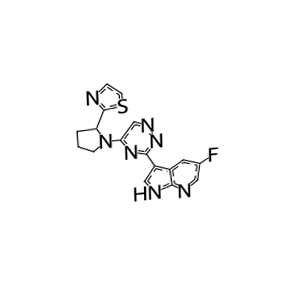 Fc1cnc2[nH]cc(-c3nncc(N4CCCC4c4nccs4)n3)c2c1